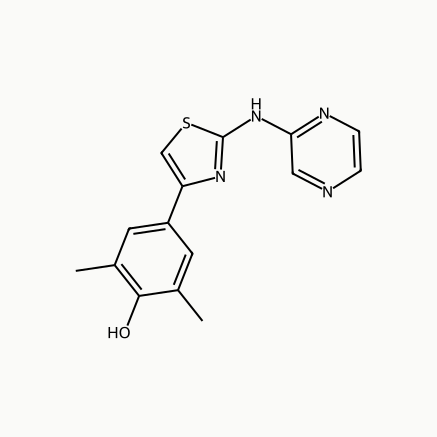 Cc1cc(-c2csc(Nc3cnccn3)n2)cc(C)c1O